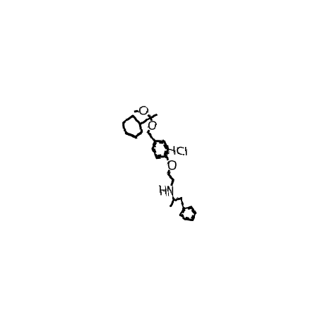 COC(C)(OCc1ccc(OCCNC(C)Cc2ccccc2)cc1)C1CCCCC1.Cl